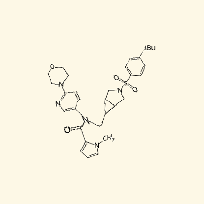 Cn1cccc1C(=O)N(CC1C2CN(S(=O)(=O)c3ccc(C(C)(C)C)cc3)CC12)c1ccc(N2CCOCC2)nc1